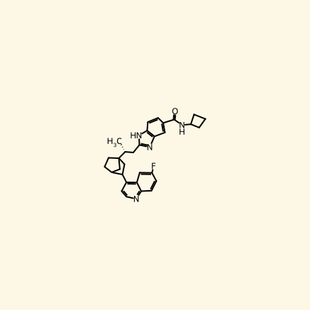 C[C@H](Cc1nc2cc(C(=O)NC3CCC3)ccc2[nH]1)C12CCC(C1)C(c1ccnc3ccc(F)cc13)C2